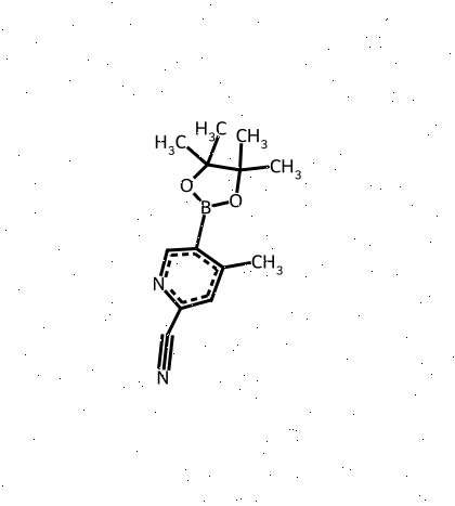 Cc1cc(C#N)ncc1B1OC(C)(C)C(C)(C)O1